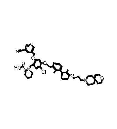 Cc1c(COc2cc(OCc3cncc(C#N)c3)c(CN3CCCC[C@H]3C(=O)O)cc2Cl)cccc1-c1cccc(OCCCN2CCC3(CCOCC3)CC2)c1C